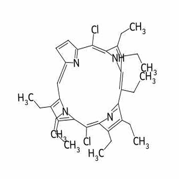 CCC1=C(CC)c2nc1c(CC)c1[nH]c(c(Cl)c3nc(cc4c(CC)c(CC)c(c2Cl)n4CC)C=C3)c(CC)c1CC